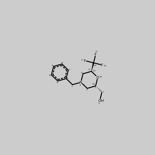 OC[C@@H]1CN(Cc2ccccc2)C[C@@H](C(F)(F)F)O1